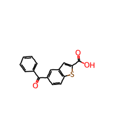 O=C(c1ccccc1)c1ccc2sc(C(=O)O)cc2c1